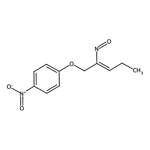 CCC=C(COc1ccc([N+](=O)[O-])cc1)N=O